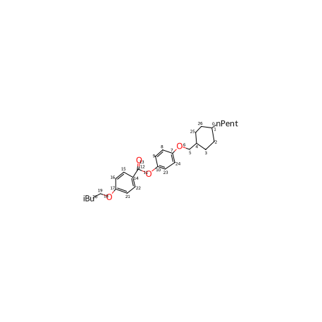 CCCCCC1CCC(COc2ccc(OC(=O)c3ccc(OCC(C)CC)cc3)cc2)CC1